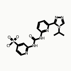 CC(C)n1cnnc1-c1cccc(NC(=O)Nc2cc(S(=O)(=O)Cl)ccn2)n1